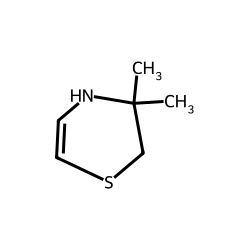 CC1(C)CSC=CN1